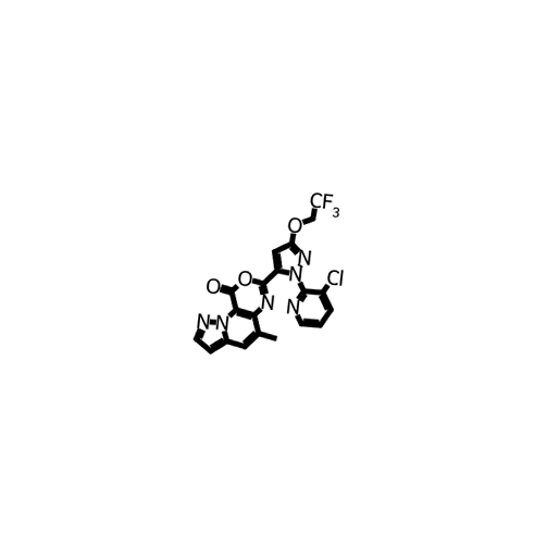 Cc1cc2ccnn2c2c(=O)oc(-c3cc(OCC(F)(F)F)nn3-c3ncccc3Cl)nc12